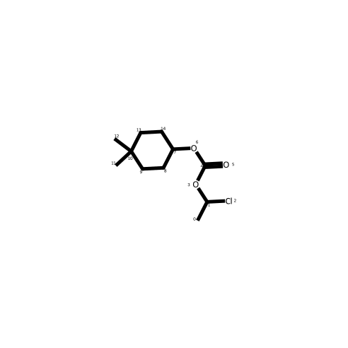 CC(Cl)OC(=O)OC1CCC(C)(C)CC1